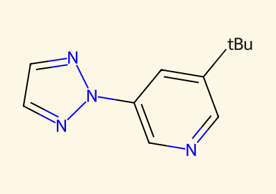 CC(C)(C)c1cncc(-n2nccn2)c1